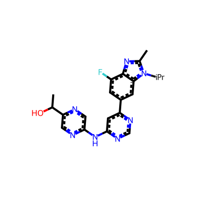 Cc1nc2c(F)cc(-c3cc(Nc4cnc(C(C)O)cn4)ncn3)cc2n1C(C)C